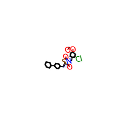 O=C1S/C(=C\c2ccc(-c3ccccc3)cc2)C(=O)N1Cc1cc2c(cc1Cl)OCO2